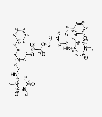 Cn1c(NCCN(CCCc2ccccc2)CCOC(=O)C(=O)OCCN(CCCc2ccccc2)CCNc2cc(=O)n(C)c(=O)n2C)cc(=O)n(C)c1=O